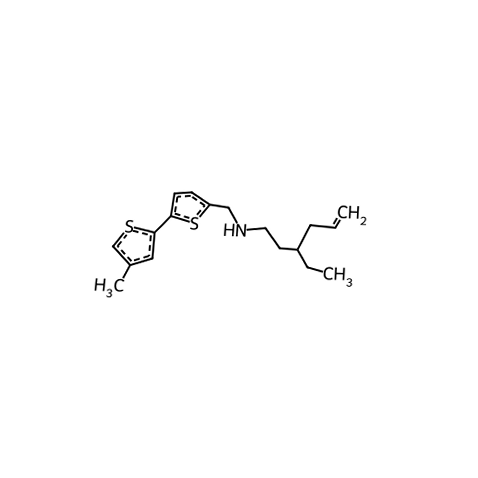 C=CCC(CC)CCNCc1ccc(-c2cc(C)cs2)s1